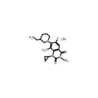 Cc1c(N2CCCC(CN)C2)c(F)cc2c(=O)n(N)c(=O)n(C3CC3)c12.Cl